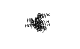 CC(=O)N[C@@H]1[C@@H](O)[C@H](O[C@@H]2O[C@H](C(=O)O)[C@@H](O[C@@H]3O[C@H](CO)[C@@H](O[C@H]4O[C@@H](C(=O)O)[C@H](O)[C@@H](O)[C@@H]4OS(=O)(=O)O)[C@H](OS(=O)(=O)O)[C@H]3NS(=O)(=O)O)[C@H](O)[C@H]2OS(=O)(=O)O)[C@H](COS(=O)(=O)O)O[C@H]1O.CC1CCCCC1